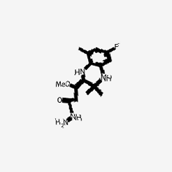 COC(CC(=O)NN)=C1Nc2c(C)cc(F)cc2NC1(C)C